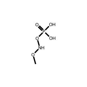 CONOP(=O)(O)O